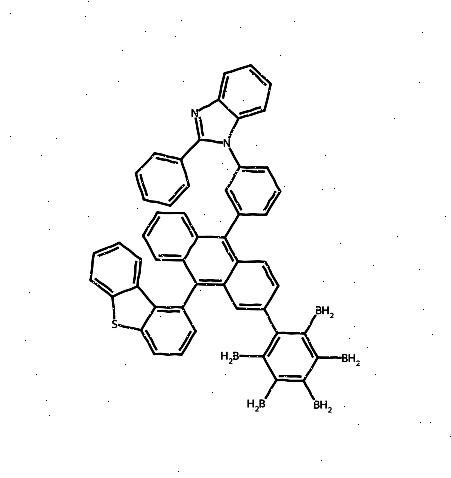 Bc1c(B)c(B)c(-c2ccc3c(-c4cccc(-n5c(-c6ccccc6)nc6ccccc65)c4)c4ccccc4c(-c4cccc5sc6ccccc6c45)c3c2)c(B)c1B